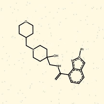 C=C(NCC1(O)CCN(CC2CCOCC2)CC1)c1cccc2cn(C(C)C)nc12